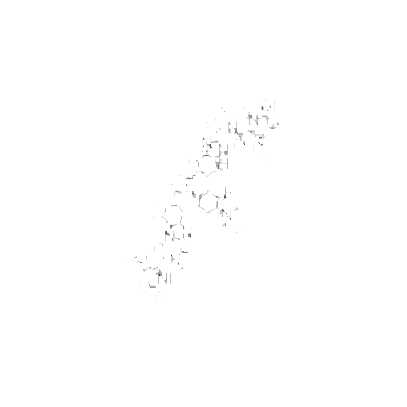 COC(=O)N[C@H](C(=O)N1CCC[C@H]1c1nc2cc([C@@H]3CC[C@@H](c4ccc5[nH]c([C@@H]6CCCN6C(=O)[C@H]([C@@H](C)OC)N(C)C(=O)O)nc5c4)N3c3ccc(N4CCCCC4)c(F)c3)ccc2[nH]1)C(C)OC